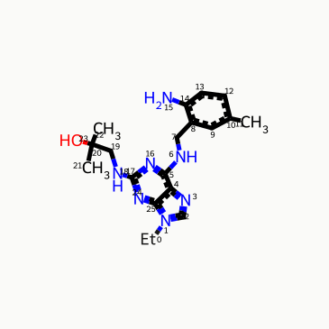 CCn1cnc2c(NCc3cc(C)ccc3N)nc(NCC(C)(C)O)nc21